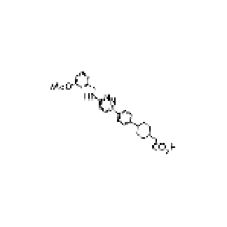 COc1cccc(CNc2ccc(-c3ccc(C4CCC(CC(=O)O)CC4)cc3)nn2)c1